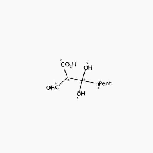 CCCCCC(O)(O)C(C=O)C(=O)O